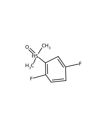 C[SH](C)(=O)c1cc(F)ccc1F